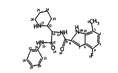 Cc1ccc(F)c2cc(C(=O)NC(C(=O)Nc3ccccc3)C3CCCCN3)[nH]c12